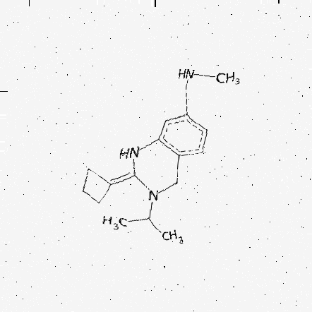 CNc1ccc2c(c1)NC(=C1CCC1)N(C(C)C)C2